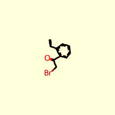 C=Cc1ccccc1C(=O)CBr